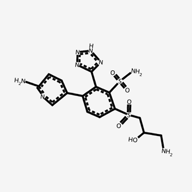 NCC(O)CS(=O)(=O)c1ccc(-c2ccc(N)nc2)c(-c2nn[nH]n2)c1S(N)(=O)=O